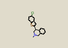 CN1Cc2ccccc2C(c2cc3cc(Cl)ccc3s2)C1